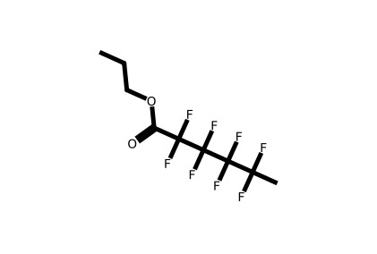 CCCOC(=O)C(F)(F)C(F)(F)C(F)(F)C(C)(F)F